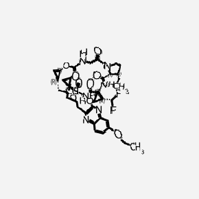 CCOc1ccc2nc(CCCCC[C@@H]3C[C@H]3OC(=O)NCC(=O)N3CC[C@@H](CC)[C@H]3C(=O)N[C@]3(C(=O)NS(=O)(=O)C4(C)CC4)C[C@H]3C(F)F)c(O)nc2c1